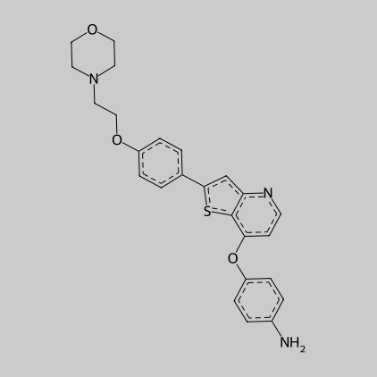 Nc1ccc(Oc2ccnc3cc(-c4ccc(OCCN5CCOCC5)cc4)sc23)cc1